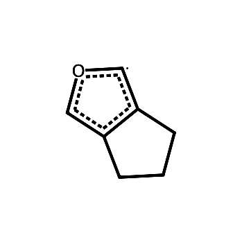 [c]1occ2c1CCC2